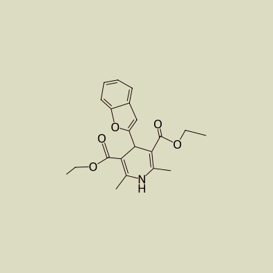 CCOC(=O)C1=C(C)NC(C)=C(C(=O)OCC)C1c1cc2ccccc2o1